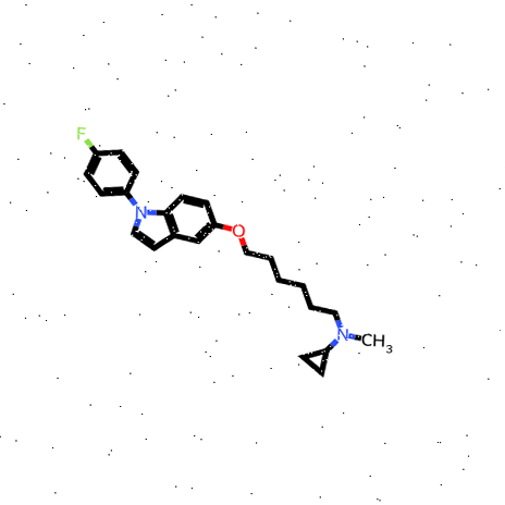 CN(CCCCCCOc1ccc2c(ccn2-c2ccc(F)cc2)c1)C1CC1